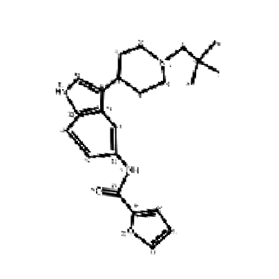 CC(C)(C)CN1CCC(c2c[nH]c3ccc(NC(=O)c4ccco4)cc23)CC1